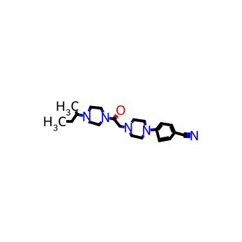 CCC(C)N1CCN(C(=O)CN2CCN(c3ccc(C#N)cc3)CC2)CC1